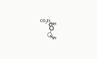 CCOC(=O)c1cc2cc(C3CCCN(C(C)C)C3)ccc2[nH]1